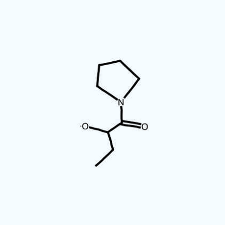 CCC([O])C(=O)N1CCCC1